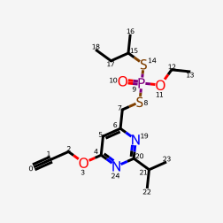 C#CCOc1cc(CSP(=O)(OCC)SC(C)CC)nc(C(C)C)n1